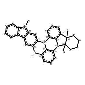 Cn1c2ccccc2c2cc3c(cc21)B1c2cccc4c2N(c2cccc(c21)O3)C1(C)CCCC[C@@]41C